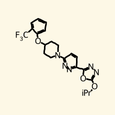 CC(C)Oc1nnc(-c2ccc(N3CCC(Oc4ccccc4C(F)(F)F)CC3)nn2)o1